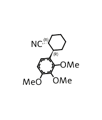 COc1ccc([C@@H]2CCCC[C@H]2C#N)c(OC)c1OC